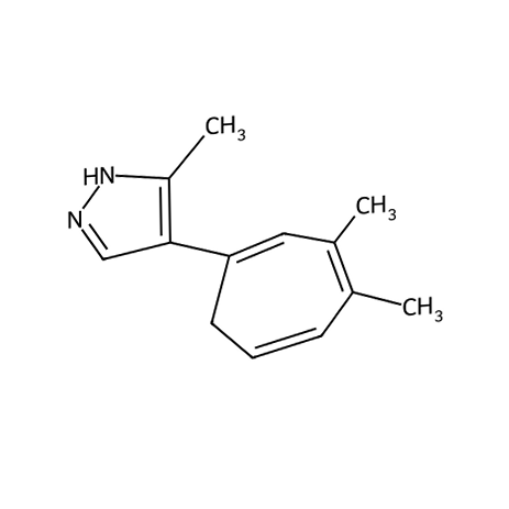 CC1=C(C)C=C(c2cn[nH]c2C)CC=C1